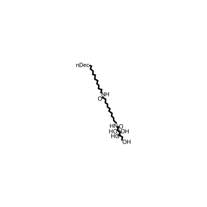 CCCCCCCCCCCCCCCCCCCCCCNC(=O)CCCCCCCCCCCNC(=O)[C@H](O)[C@@H](O)[C@H](O)CCO